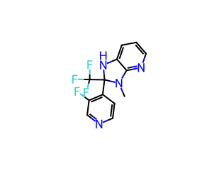 CN1c2ncccc2NC1(c1ccncc1F)C(F)(F)F